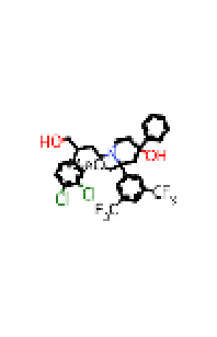 COCC1(c2cc(C(F)(F)F)cc(C(F)(F)F)c2)CC(O)(c2ccccc2)CCN1CCC(CO)c1ccc(Cl)c(Cl)c1